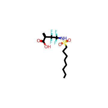 C=C(C(=O)O)C(F)(F)C(F)(F)NS(=O)(=O)CCCCCCCC